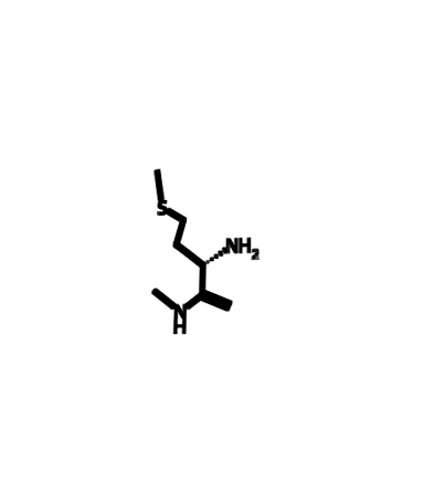 C=C(NC)[C@@H](N)CCSC